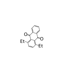 CCc1ccc(CC)c2c1C(=O)c1ccccc1C2=O